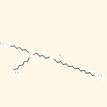 CCCCCCCCCCCCC(CCOC(=O)CCCCC(OCCCCCCCC)OCCCCCCCC)OC=O